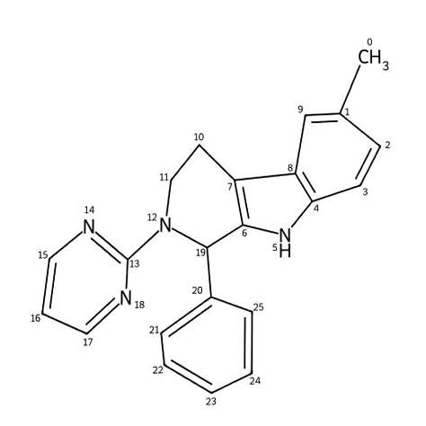 Cc1ccc2[nH]c3c(c2c1)CCN(c1ncccn1)C3c1ccccc1